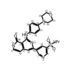 CC(C)S(=O)(=O)c1cncc(-c2cc3c(c(Nc4ccc(N5CCOCC5)cc4)n2)C(=O)[N]C=C3)c1